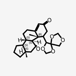 C[C@@]12CCC[C@H]1[C@@H]1CCC3=CC(=O)CC(C4OCOC45COCO5)[C@]3(C)[C@H]1C(=O)C2